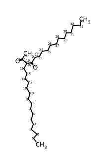 CCCCCCCCCCCCCCCCC(C(C)=O)C(=O)CCCCCCCCCCCCC